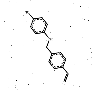 C=Cc1ccc(CNc2ccc(C#N)cc2)cc1